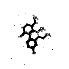 CCCc1cc(Br)ccc1C1=C(OC)C(CC)CCC1=O